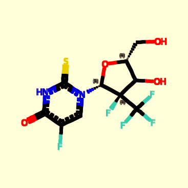 O=c1[nH]c(=S)n([C@@H]2O[C@H](CO)C(O)[C@]2(F)C(F)(F)F)cc1F